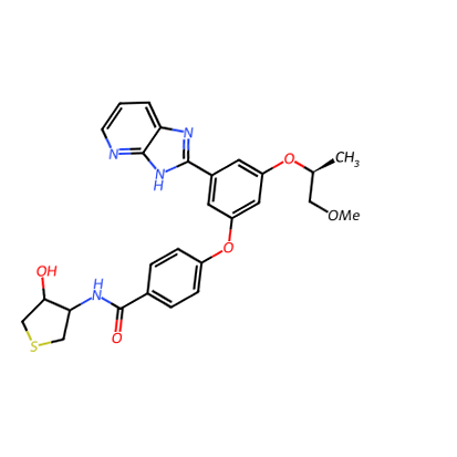 COC[C@H](C)Oc1cc(Oc2ccc(C(=O)NC3CSCC3O)cc2)cc(-c2nc3cccnc3[nH]2)c1